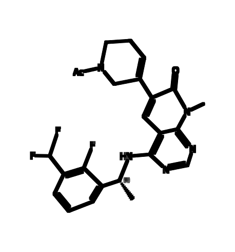 CC(=O)N1CCC=C(c2cc3c(N[C@H](C)c4cccc(C(F)F)c4F)ncnc3n(C)c2=O)C1